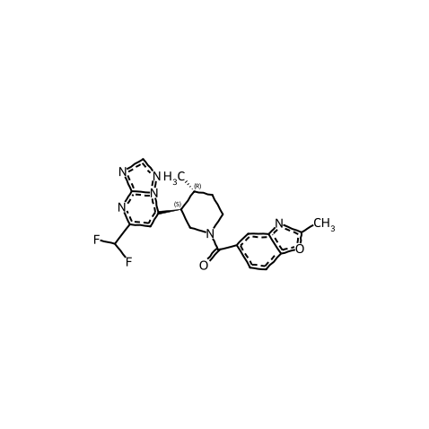 Cc1nc2cc(C(=O)N3CC[C@@H](C)[C@H](c4cc(C(F)F)nc5ncnn45)C3)ccc2o1